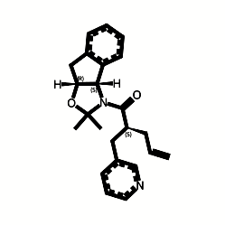 C=CC[C@@H](Cc1cccnc1)C(=O)N1[C@H]2c3ccccc3C[C@H]2OC1(C)C